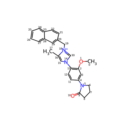 COc1cc(N2CCCC2=O)ccc1-n1cc(C)[n+](Cc2ccc3ccccc3c2)c1